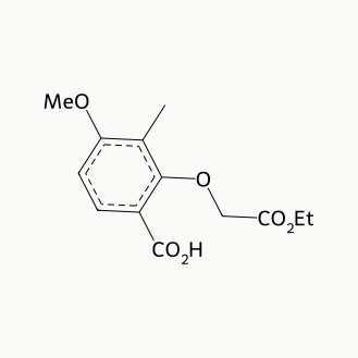 CCOC(=O)COc1c(C(=O)O)ccc(OC)c1C